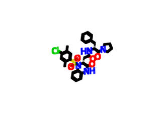 Cc1cc(S(=O)(=O)N2c3ccccc3NC(=O)[C@H]2CC(=O)N[C@H](Cc2ccccc2)C(=O)N2CCCC2)c(C)cc1Cl